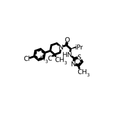 Cc1csc(N[C@@H](C(=O)N2CCC(c3ccc(Cl)cc3)C(C)(C)C2)C(C)C)n1